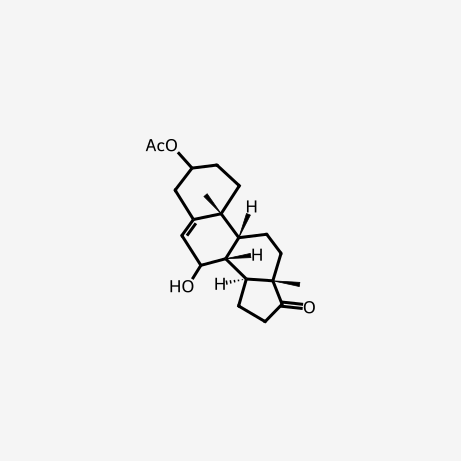 CC(=O)OC1CC[C@@]2(C)C(=CC(O)[C@@H]3[C@H]2CC[C@]2(C)C(=O)CC[C@@H]32)C1